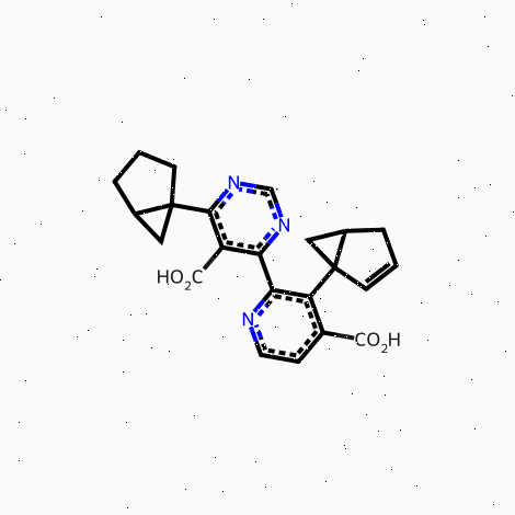 O=C(O)c1ccnc(-c2n[c]nc(C34CCCC3C4)c2C(=O)O)c1C12C=CCC1C2